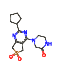 O=C1CN(c2nc(C3CCCC3)nc3c2CS(=O)(=O)C3)CCN1